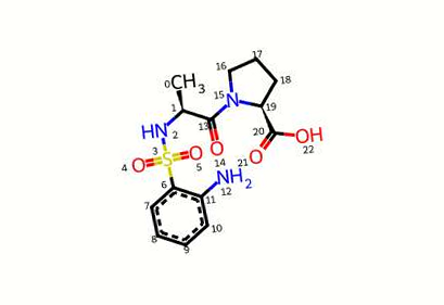 C[C@H](NS(=O)(=O)c1ccccc1N)C(=O)N1CCC[C@H]1C(=O)O